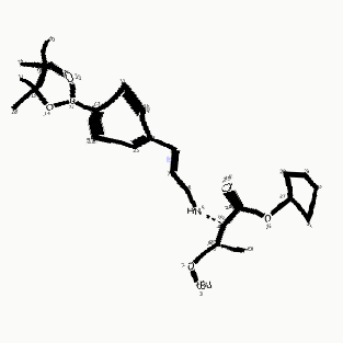 C[C@@H](OC(C)(C)C)[C@H](NC/C=C/c1ccc(B2OC(C)(C)C(C)(C)O2)cc1)C(=O)OC1CCCC1